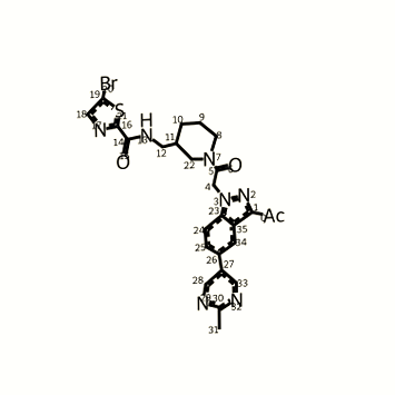 CC(=O)c1nn(CC(=O)N2CCCC(CNC(=O)c3ncc(Br)s3)C2)c2ccc(-c3cnc(C)nc3)cc12